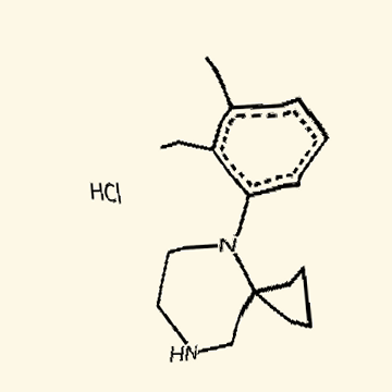 Cc1cccc(N2CCNCC23CC3)c1C.Cl